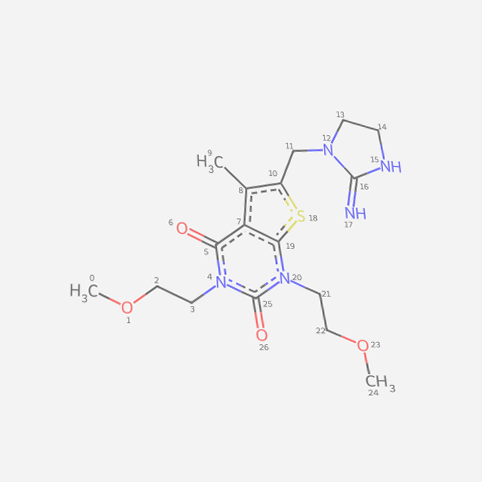 COCCn1c(=O)c2c(C)c(CN3CCNC3=N)sc2n(CCOC)c1=O